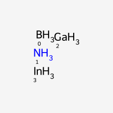 B.N.[GaH3].[InH3]